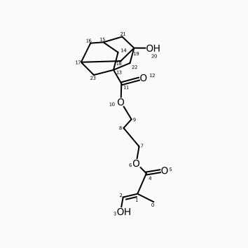 CC(=CO)C(=O)OCCCOC(=O)C12CC3CC(CC(O)(C3)C1)C2